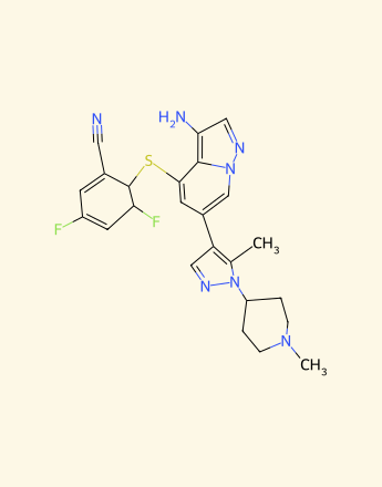 Cc1c(-c2cc(SC3C(C#N)=CC(F)=CC3F)c3c(N)cnn3c2)cnn1C1CCN(C)CC1